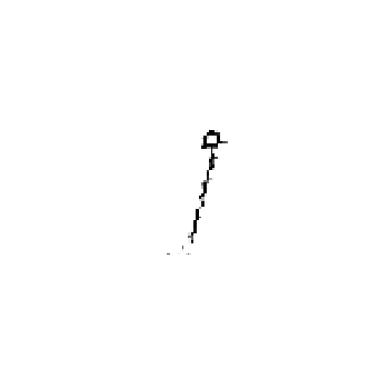 O=C(O)CCCCCCCCCCCCCCOc1c(I)cc(I)cc1I